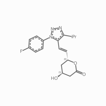 CC(C)c1nnn(-c2ccc(F)cc2)c1C=C[C@H]1C[C@H](O)CC(=O)O1